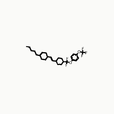 CCCCCC1CCC(/C=C/C2CCC(C(F)(F)Oc3ccc(OC(F)(F)F)cc3)CC2)CC1